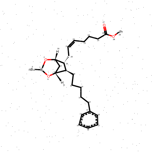 CCCCB1O[C@H]2C[C@@H](O1)[C@H](CCCCCc1ccccc1)[C@H]2C/C=C\CCCC(=O)OC(C)C